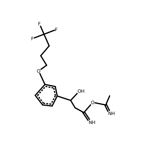 CC(=N)OC(=N)CC(O)c1cccc(OCCCC(F)(F)F)c1